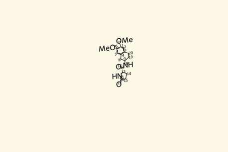 COc1cc2c(cc1OC)CC(NC(=O)[C@@H]1CCC(=O)N1)CC2